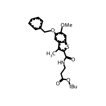 COc1cc2sc(C(=O)NCCC(=O)OC(C)(C)C)c(C)c2cc1OCc1ccccc1